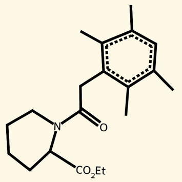 CCOC(=O)C1CCCCN1C(=O)Cc1c(C)c(C)cc(C)c1C